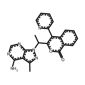 Cc1nn(C(C)c2oc(=O)c3ccccc3c2-c2ccccn2)c2ncnc(N)c12